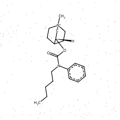 CCCCCN(C(=O)O[C@H]1C[N+]2(C)CCC1CC2)c1ccccc1